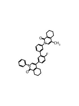 Cc1cn(-c2cccc(-c3cc(-c4cn(-c5ccccc5)c(=O)c5c4CCCC5)ccc3F)c2)c(=O)c2c1CCCC2